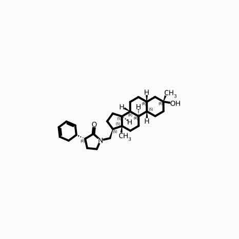 C[C@@]1(O)CC[C@H]2[C@H](CC[C@@H]3[C@@H]2CC[C@]2(C)[C@@H](CN4CC[C@H](C5C=CC=CC5)C4=O)CC[C@@H]32)C1